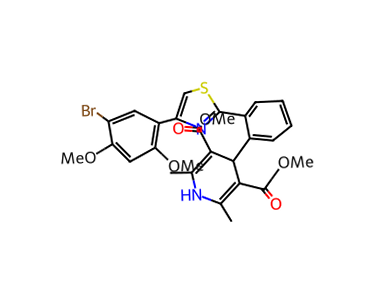 COC(=O)C1=C(C)NC(C)=C(C(=O)OC)C1c1ccccc1-c1nc(-c2cc(Br)c(OC)cc2OC)cs1